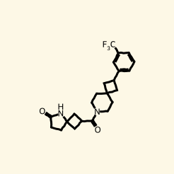 O=C1CCC2(CC(C(=O)N3CCC4(CC3)CC(c3cccc(C(F)(F)F)c3)C4)C2)N1